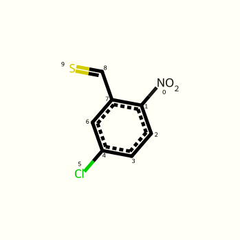 O=[N+]([O-])c1ccc(Cl)cc1C=S